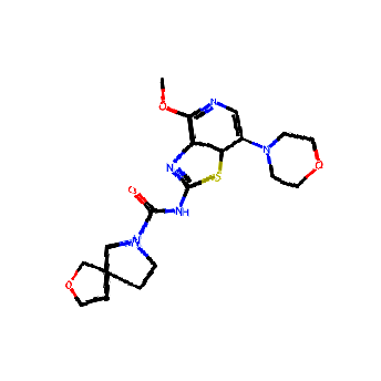 COC1=NC=C(N2CCOCC2)C2SC(NC(=O)N3CCC4(CCOC4)C3)=NC12